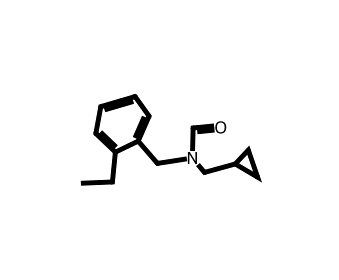 CCc1ccccc1CN(C=O)CC1CC1